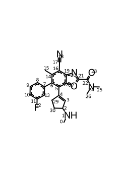 CNC1C=C(c2c(-c3cccc(F)c3)c(C)c(C#N)c3nc(C(=O)N(C)C)oc23)CC1